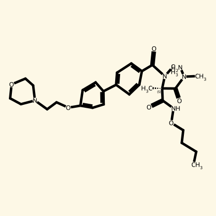 CCCCONC(=O)[C@](C)(C(=O)N(C)N)N(C)C(=O)c1ccc(-c2ccc(OCCN3CCOCC3)cc2)cc1